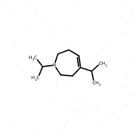 CC(C)C1=CCCN(C(C)C)CC1